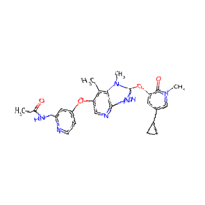 CC(=O)Nc1cc(Oc2cnc3c(c2C)N(C)C(Oc2cc(C4CC4)cn(C)c2=O)N3)ccn1